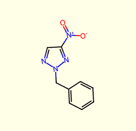 O=[N+]([O-])c1cnn(Cc2ccccc2)n1